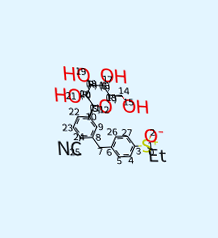 CC[S+]([O-])c1ccc(Cc2cc([C@@H]3O[C@H](CO)[C@@H](O)[C@H](O)[C@H]3O)ccc2C#N)cc1